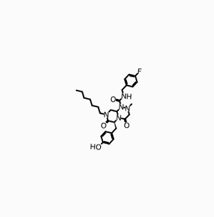 CCCCCCCN1CC2N(C(=O)CN(C)N2C(=O)NCc2ccc(F)cc2)[C@@H](Cc2ccc(O)cc2)C1=O